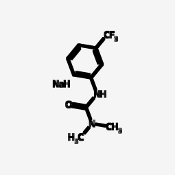 CN(C)C(=O)Nc1cccc(C(F)(F)F)c1.[NaH]